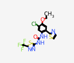 CCOc1cc(-c2nccs2)c(NC(=O)Nc2nnc(C(F)(F)F)s2)cc1Cl